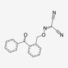 N#CC(C#N)=NOCc1ccccc1C(=O)c1ccccc1